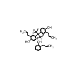 C=CCc1cc(C(c2ccc(O)c(CC=C)c2)(C(F)(F)F)C(F)(F)F)ccc1O.C=CCc1ccccc1O